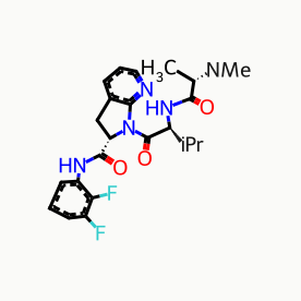 CN[C@@H](C)C(=O)N[C@H](C(=O)N1c2ncccc2C[C@H]1C(=O)Nc1cccc(F)c1F)C(C)C